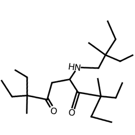 CCC(C)(CC)CNC(CC(=O)C(C)(CC)CC)C(=O)C(C)(CC)CC